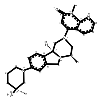 C[C@@H]1CN(c2cc(=O)n(C)c3ncccc23)C[C@@H]2c3ccc(N4CCC[C@](C)(N)C4)cc3CN12